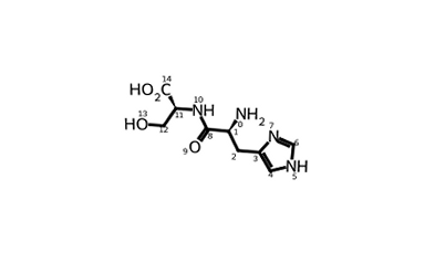 N[C@@H](Cc1c[nH]cn1)C(=O)N[C@@H](CO)C(=O)O